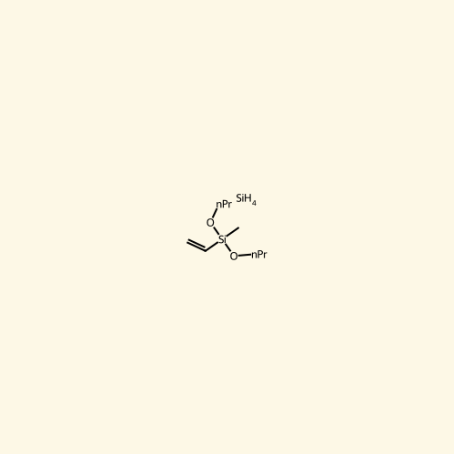 C=C[Si](C)(OCCC)OCCC.[SiH4]